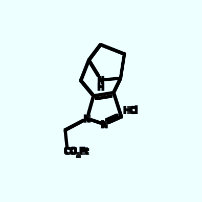 CCOC(=O)Cn1ncc2c1CC1CCC2N1.Cl